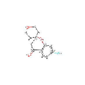 O=C1CC2(CCOCC2)Oc2cc(F)ccc21